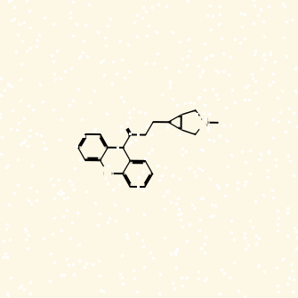 CN1CC2C(CCC(=O)C3c4ccccc4Oc4ccccc43)C2C1